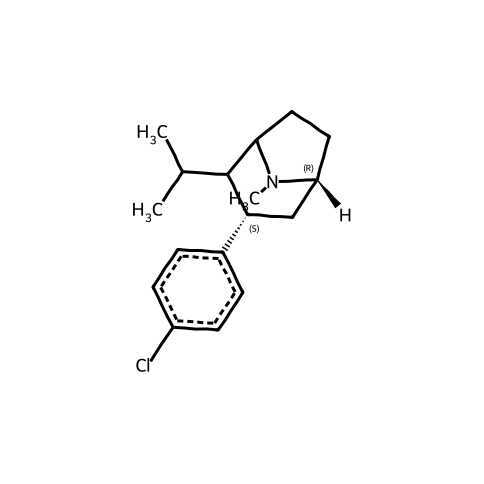 CC(C)C1C2CC[C@H](C[C@@H]1c1ccc(Cl)cc1)N2C